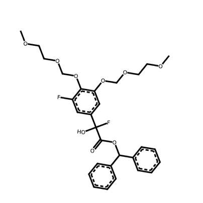 COCCOCOc1cc(C(O)(F)C(=O)OC(c2ccccc2)c2ccccc2)cc(F)c1OCOCCOC